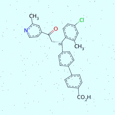 Cc1cc(C(=O)C[C@@H](c2ccc(-c3ccc(C(=O)O)cc3)cc2)c2ccc(Cl)cc2C)ccn1